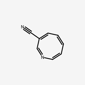 N#CC1=CC=CC=CN=C1